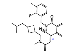 C=C(C(=C)/C(C#N)=C/C(=C)N(C)CC1CC(CC(C)C)C1)C(=O)NCc1cccc(C)c1F